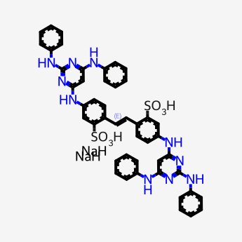 O=S(=O)(O)c1cc(Nc2cc(Nc3ccccc3)nc(Nc3ccccc3)n2)ccc1/C=C/c1ccc(Nc2cc(Nc3ccccc3)nc(Nc3ccccc3)n2)cc1S(=O)(=O)O.[NaH].[NaH]